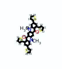 Cn1c2cc3c(=O)c4c(-c5cccs5)cc(-c5cccs5)cc4n(C)c3cc2c(=O)c2c(-c3cccs3)cc(-c3cccs3)cc21